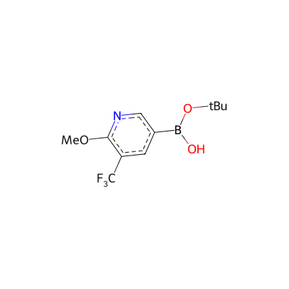 COc1ncc(B(O)OC(C)(C)C)cc1C(F)(F)F